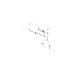 C=CCOCC(Cn1c(=O)n(CC=C)c(=O)n(CC(COCC=C)OCC=C)c1=O)OCC=C